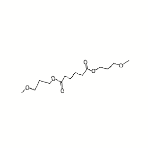 COCCCOC(=O)CCCCC(=O)OCCCOC